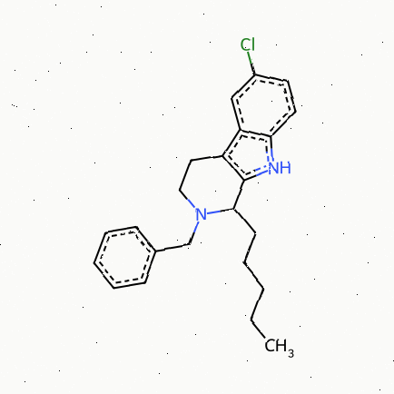 CCCCCC1c2[nH]c3ccc(Cl)cc3c2CCN1Cc1ccccc1